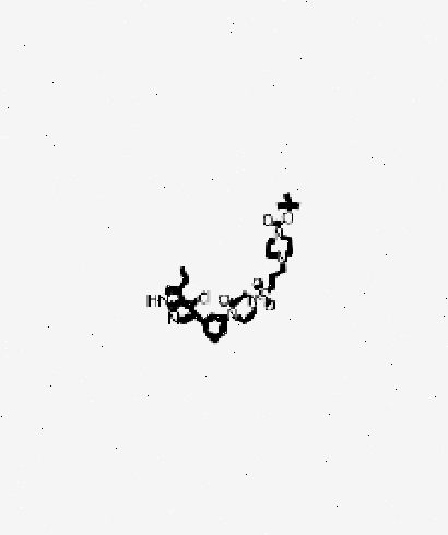 CCc1c[nH]c2ncc(-c3cccc(N4CCN(S(=O)(=O)CCCN5CCN(C(=O)OC(C)(C)C)CC5)CC4=O)c3)c(Cl)c12